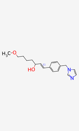 COCCCCC(O)/C=C/c1ccc(Cn2ccnc2)cc1